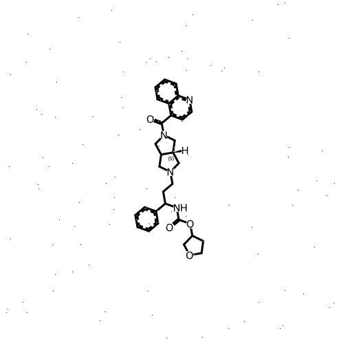 O=C(NC(CCN1CC2CN(C(=O)c3ccnc4ccccc34)C[C@@H]2C1)c1ccccc1)OC1CCOC1